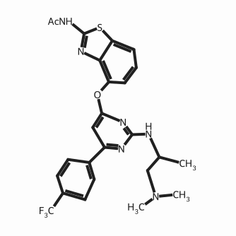 CC(=O)Nc1nc2c(Oc3cc(-c4ccc(C(F)(F)F)cc4)nc(NC(C)CN(C)C)n3)cccc2s1